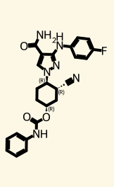 N#C[C@@H]1C[C@H](OC(=O)Nc2ccccc2)CC[C@H]1n1cc(C(N)=O)c(Nc2ccc(F)cc2)n1